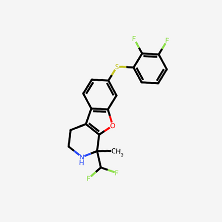 CC1(C(F)F)NCCc2c1oc1cc(Sc3cccc(F)c3F)ccc21